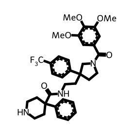 COc1cc(C(=O)N2CCC(CCNC(=O)C3(c4ccccc4)CCNCC3)(c3ccc(C(F)(F)F)cc3)C2)cc(OC)c1OC